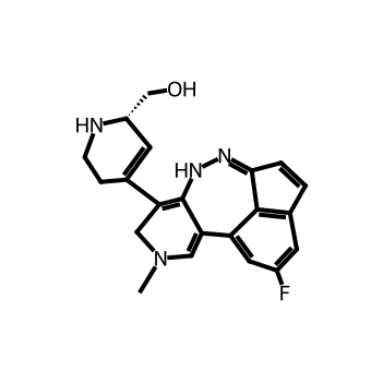 CN1C=C2C(=C(C3=C[C@@H](CO)NCC3)C1)NN=C1C=Cc3cc(F)cc2c31